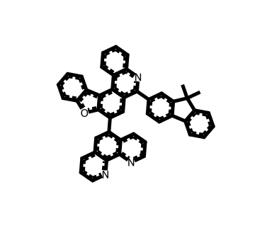 CC1(C)c2ccccc2-c2ccc(-c3nc4ccccc4c4c3cc(-c3cc5cccnc5c5ncccc35)c3oc5ccccc5c34)cc21